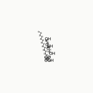 CCCCCCCCCCCCCCOS(=O)(=O)O.OCCONOCCO